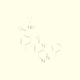 Cc1ccc(C(=O)NC2CC2)cc1-c1cc2cnnc(-c3ccccc3C)c2n(C)c1=O